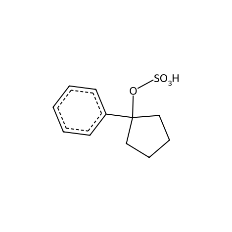 O=S(=O)(O)OC1(c2ccccc2)CCCC1